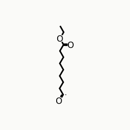 CCOC(=O)CCCCCCC[C]=O